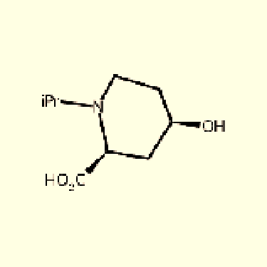 CC(C)N1CC[C@@H](O)C[C@H]1C(=O)O